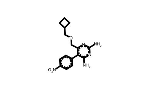 Nc1nc(N)c(-c2ccc([N+](=O)[O-])cc2)c(COCC2CCC2)n1